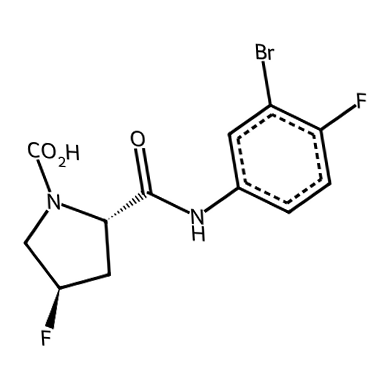 O=C(Nc1ccc(F)c(Br)c1)[C@@H]1C[C@@H](F)CN1C(=O)O